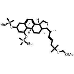 COCOC(C)(C)CC=C[C@@H](C)[C@H]1CC[C@H]2C3=CC=C4CC(O[Si](C)(C)C(C)(C)C)CC(O[Si](C)(C)C(C)(C)C)[C@]4(C)[C@H]3CC[C@]12C